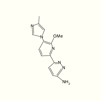 COc1nc(-c2ccc(N)nn2)ccc1-n1cnc(C)c1